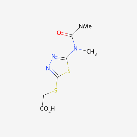 CNC(=O)N(C)c1nnc(SCC(=O)O)s1